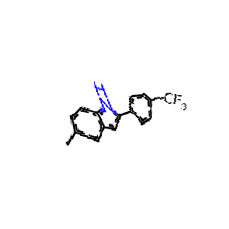 Cc1ccc2[nH]c(-c3ccc(C(F)(F)F)cc3)cc2c1